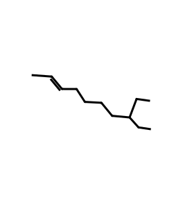 CC=CCCCCC(CC)CC